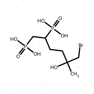 CC(O)(CBr)CCC(CP(=O)(O)O)P(=O)(O)O